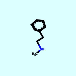 CNCCc1c[c]ccc1